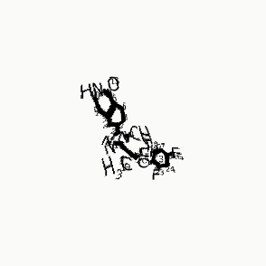 Cn1c(-c2ccc3c(c2)CCNC3=O)nnc1C(C)(C)Oc1c(F)cc(F)cc1F